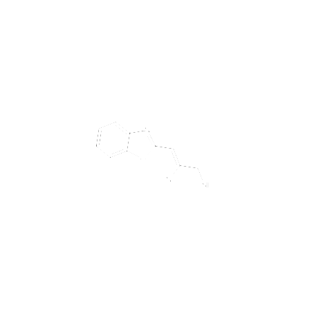 NCC(N)=Cc1nc2ccccc2o1